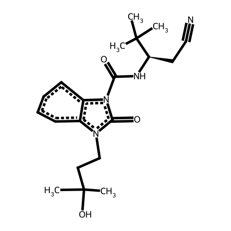 CC(C)(O)CCn1c(=O)n(C(=O)N[C@H](CC#N)C(C)(C)C)c2ccccc21